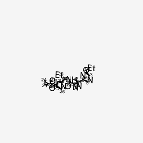 CCOc1cncc(-c2nnc(C(=O)N[C@@H](CC)c3cc(S(=O)(=O)C4CC4)ccn3)s2)n1